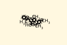 COc1ccc([C@@H](C)Oc2ccc(C)c3nc(-c4oc5ccccc5c4C)cc(C(=O)O)c23)cc1